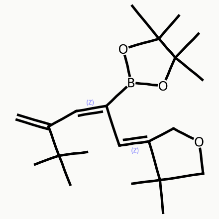 C=C(/C=C(\C=C1/COCC1(C)C)B1OC(C)(C)C(C)(C)O1)C(C)(C)C